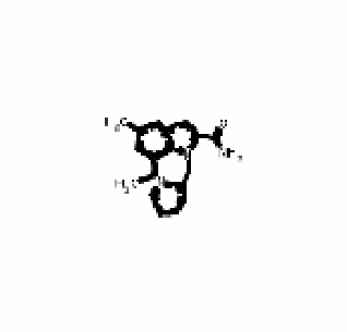 CCc1cc(C)cc2cc(C(N)=O)n(Cc3ccccn3)c12